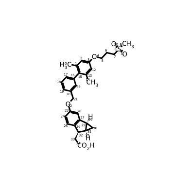 Cc1cc(OCCCS(C)(=O)=O)cc(C)c1-c1cccc(COc2ccc3c(c2)[C@H]2C[C@H]2[C@H]3CC(=O)O)c1